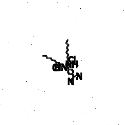 CCCCCCCCC(Cl)CNC(NCC(Cl)CCCCCCCC)=c1ccc(=C(C#N)C#N)cc1